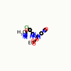 CCS(=O)(=O)CCOc1nn([C@H]2CC[C@H](N3CCOCC3)CC2)cc1Nc1ncc(-c2ccc(Cl)c(O[C@@H](C)Cn3cnnn3)c2)cn1